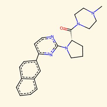 CN1CCN(C(=O)[C@@H]2CCCN2c2nccc(-c3ccc4ccccc4c3)n2)CC1